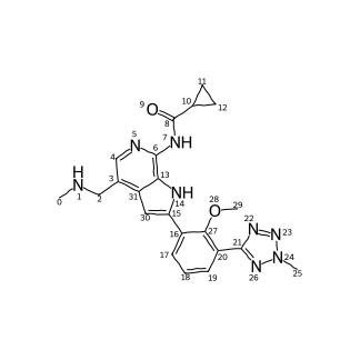 CNCc1cnc(NC(=O)C2CC2)c2[nH]c(-c3cccc(-c4nnn(C)n4)c3OC)cc12